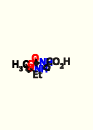 CC[C@@H](Nc1c(Nc2ccccc2C(=O)O)c(=O)c1=O)c1ccc(C)o1